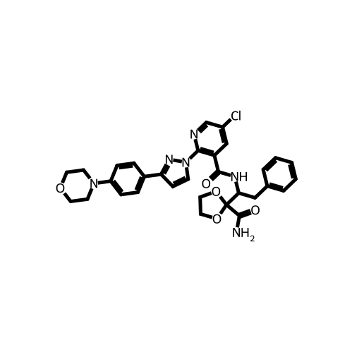 NC(=O)C1(C(Cc2ccccc2)NC(=O)c2cc(Cl)cnc2-n2ccc(-c3ccc(N4CCOCC4)cc3)n2)OCCO1